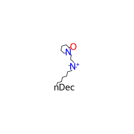 CCCCCCCCCCCCCCCC[N+](C)(C)CCCN1CCCCC1=O